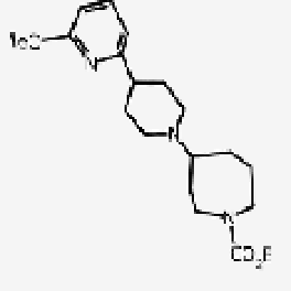 CCOC(=O)N1CCCC(N2CCC(c3cccc(OC)n3)CC2)CC1